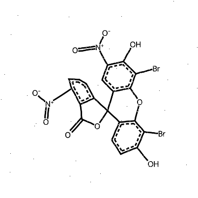 O=C1OC2(c3ccc(O)c(Br)c3Oc3c2cc([N+](=O)[O-])c(O)c3Br)c2cccc([N+](=O)[O-])c21